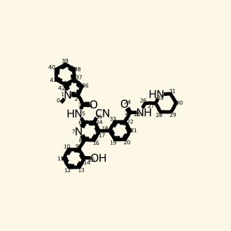 Cn1c(C(=O)Nc2nc(-c3ccccc3O)cc(-c3cccc(C(=O)NCC4CCCCN4)c3)c2C#N)cc2ccccc21